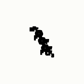 CCCc1ccc(-c2ccc(-c3cc(F)c(C(F)(F)F)c(F)c3)c(F)c2)c(F)c1